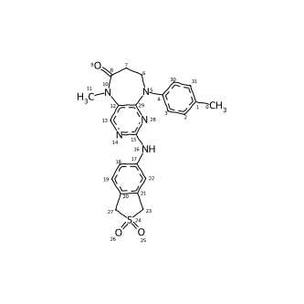 Cc1ccc(N2CCC(=O)N(C)c3cnc(Nc4ccc5c(c4)CS(=O)(=O)C5)nc32)cc1